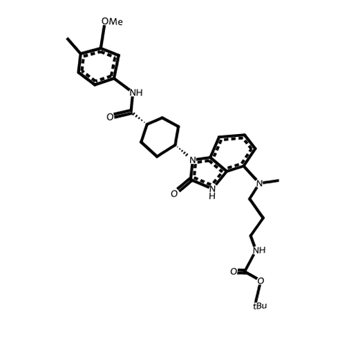 COc1cc(NC(=O)[C@H]2CC[C@@H](n3c(=O)[nH]c4c(N(C)CCCNC(=O)OC(C)(C)C)cccc43)CC2)ccc1C